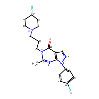 Cc1nc2c(cnn2-c2ccc(F)cc2)c(=O)n1CCCN1CCC(F)CC1